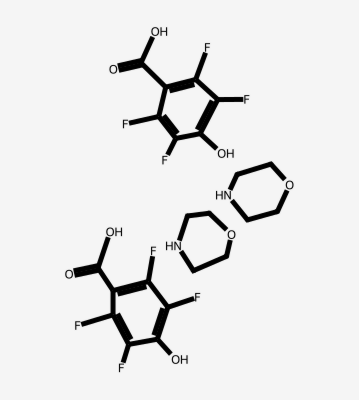 C1COCCN1.C1COCCN1.O=C(O)c1c(F)c(F)c(O)c(F)c1F.O=C(O)c1c(F)c(F)c(O)c(F)c1F